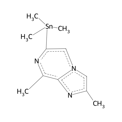 Cc1cn2c[c]([Sn]([CH3])([CH3])[CH3])nc(C)c2n1